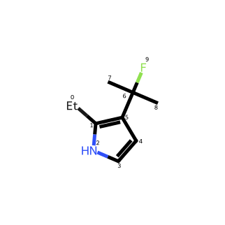 CCc1[nH]ccc1C(C)(C)F